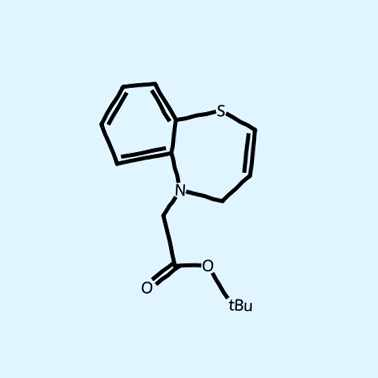 CC(C)(C)OC(=O)CN1CC=CSc2ccccc21